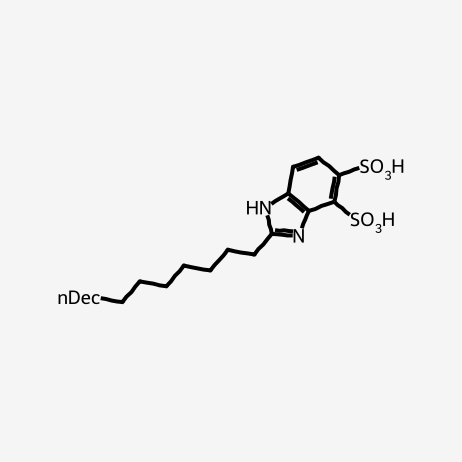 CCCCCCCCCCCCCCCCCc1nc2c(S(=O)(=O)O)c(S(=O)(=O)O)ccc2[nH]1